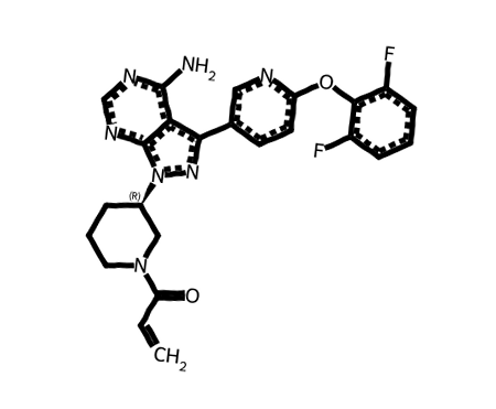 C=CC(=O)N1CCC[C@@H](n2nc(-c3ccc(Oc4c(F)cccc4F)nc3)c3c(N)ncnc32)C1